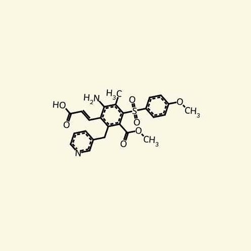 COC(=O)c1c(Cc2cccnc2)c(C=CC(=O)O)c(N)c(C)c1S(=O)(=O)c1ccc(OC)cc1